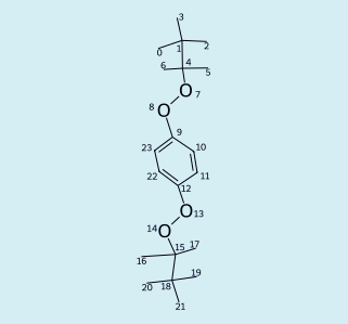 CC(C)(C)C(C)(C)OOc1ccc(OOC(C)(C)C(C)(C)C)cc1